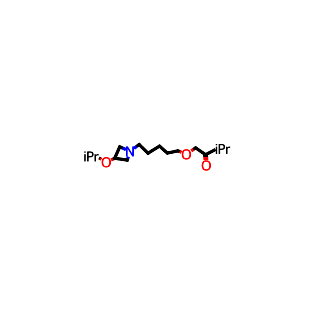 CC(C)OC1CN(CCCCCOCC(=O)C(C)C)C1